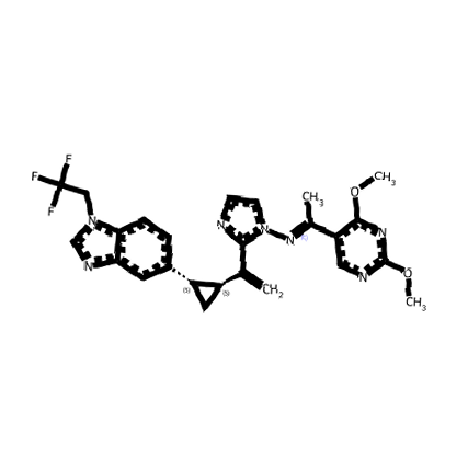 C=C(c1nccn1/N=C(\C)c1cnc(OC)nc1OC)[C@H]1C[C@@H]1c1ccc2c(c1)ncn2CC(F)(F)F